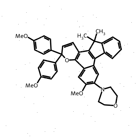 COc1ccc(C2(c3ccc(OC)cc3)C=Cc3c4c(c5cc(N6CCOCC6)c(OC)cc5c3O2)-c2ccccc2C4(C)C)cc1